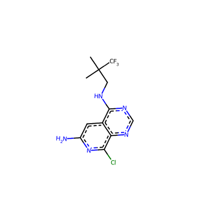 CC(C)(CNc1ncnc2c(Cl)nc(N)cc12)C(F)(F)F